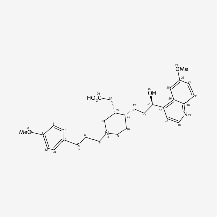 COc1ccc(SCCN2CC[C@@H](CC[C@@H](O)c3ccnc4ccc(OC)cc34)[C@@H](CC(=O)O)C2)cc1